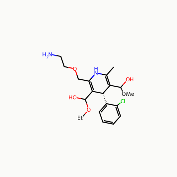 CCOC(O)C1=C(COCCN)NC(C)=C(C(O)OC)[C@@H]1c1ccccc1Cl